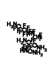 FN(F)c1cccc(N(F)F)c1.Nc1cc(F)c(-c2c(F)cc(N)cc2F)c(F)c1.Nc1ccc(-c2c(F)c(F)c(N(F)F)c(F)c2F)c(F)c1F.Nc1ccc(NC(F)(F)F)cc1